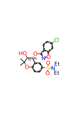 CCN(CC)S(=O)(=O)c1ccc2c(c1)[C@@H](Oc1noc3cc(Cl)ccc13)[C@H](O)C(C)(C)O2